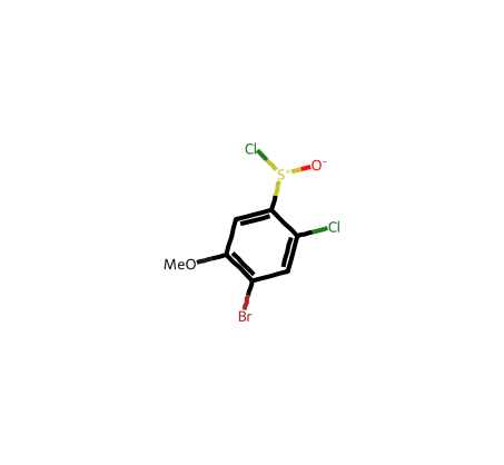 COc1cc([S+]([O-])Cl)c(Cl)cc1Br